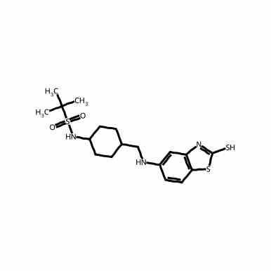 CC(C)(C)S(=O)(=O)NC1CCC(CNc2ccc3sc(S)nc3c2)CC1